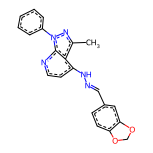 Cc1nn(-c2ccccc2)c2nccc(N/N=C/c3ccc4c(c3)OCO4)c12